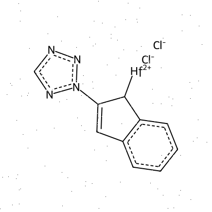 [Cl-].[Cl-].[Hf+2][CH]1C(n2ncnn2)=Cc2ccccc21